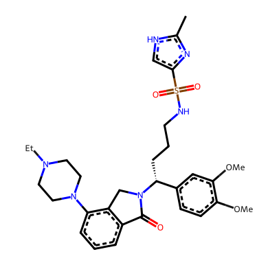 CCN1CCN(c2cccc3c2CN([C@H](CCCNS(=O)(=O)c2c[nH]c(C)n2)c2ccc(OC)c(OC)c2)C3=O)CC1